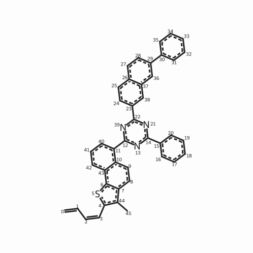 C=C/C=C\c1sc2c(ccc3c(-c4nc(-c5ccccc5)nc(-c5ccc6ccc(-c7ccccc7)cc6c5)n4)cccc32)c1C